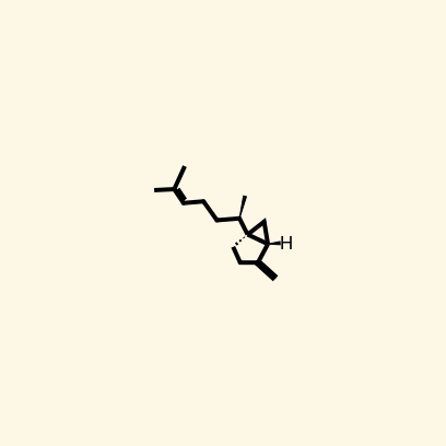 C=C1CC[C@]2([C@H](C)CCC=C(C)C)C[C@H]12